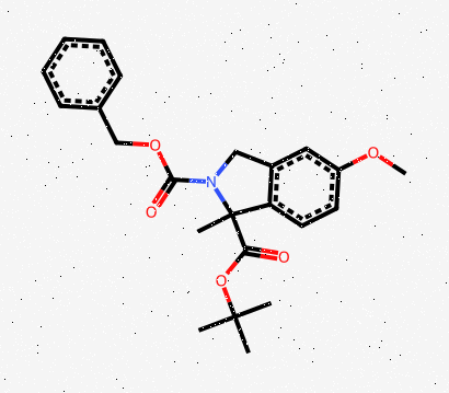 COc1ccc2c(c1)CN(C(=O)OCc1ccccc1)C2(C)C(=O)OC(C)(C)C